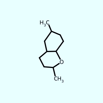 CC1CCC2OC(C)CCC2C1